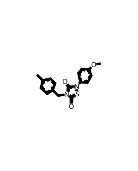 COc1ccc(-n2sc(=O)n(Cc3ccc(C)cc3)c2=O)cc1